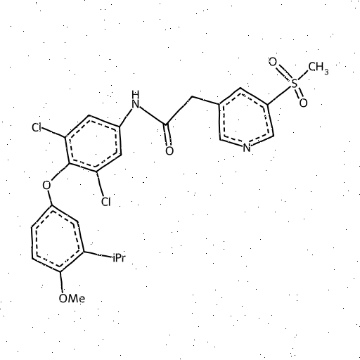 COc1ccc(Oc2c(Cl)cc(NC(=O)Cc3cncc(S(C)(=O)=O)c3)cc2Cl)cc1C(C)C